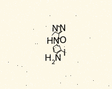 Cc1ncncc1C(=O)Nc1ccc(N)c(I)c1